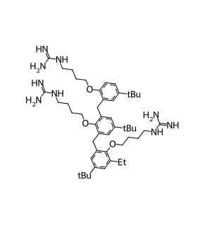 CCc1cc(C(C)(C)C)cc(Cc2cc(C(C)(C)C)cc(Cc3cc(C(C)(C)C)ccc3OCCCCNC(=N)N)c2OCCCCNC(=N)N)c1OCCCCNC(=N)N